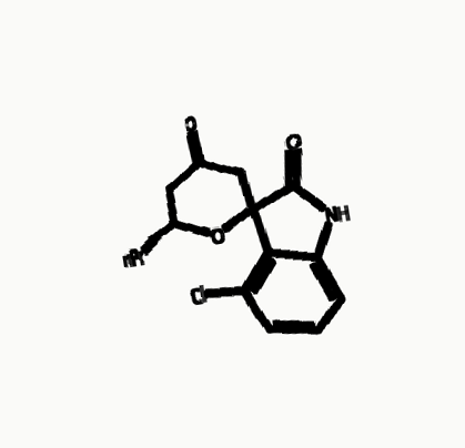 CCCC1CC(=O)CC2(O1)C(=O)Nc1cccc(Cl)c12